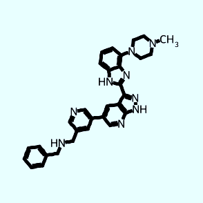 CN1CCN(c2cccc3[nH]c(-c4n[nH]c5ncc(-c6cncc(CNCc7ccccc7)c6)cc45)nc23)CC1